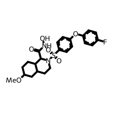 COC1CCC2C(CCN(S(=O)(=O)c3ccc(Oc4ccc(F)cc4)cc3)C2C(=O)NO)C1